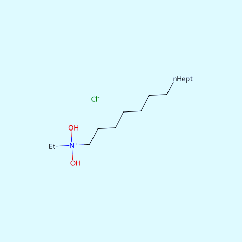 CCCCCCCCCCCCCC[N+](O)(O)CC.[Cl-]